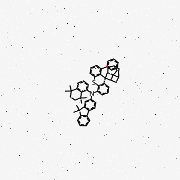 CC1(C)CCC(C)(C)c2c(N(c3ccc4c(c3)C(C)(C)c3ccccc3-4)c3cccc4c3Sc3cccc(-c5ccccc5)c3C43C4CC5CC6CC3C64C5)cccc21